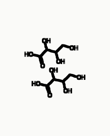 O=C(O)C(O)C(O)CO.O=C(O)C(O)C(O)CO